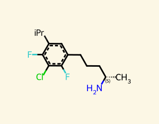 CC(C)c1cc(CCC[C@H](C)N)c(F)c(Cl)c1F